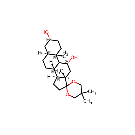 CC1(C)COC2(CC[C@H]3[C@@H]4CC[C@H]5C[C@H](O)CC[C@]5(C)C4[C@H](O)C[C@@]32C)OC1